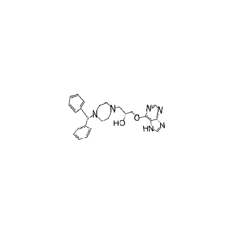 OC(COc1ncnc2nc[nH]c12)CN1CCN(C(c2ccccc2)c2ccccc2)CC1